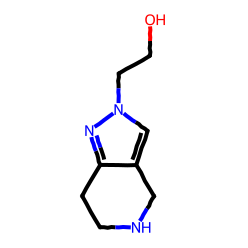 OCCn1cc2c(n1)CCNC2